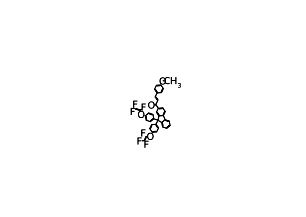 COc1ccc(C=CC(=O)c2ccc3c(c2)C(c2ccc(OC(F)=C(F)F)cc2)(c2ccc(OC(F)=C(F)F)cc2)c2ccccc2-3)cc1